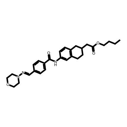 CCCCOC(=O)CC1CCc2cc(NC(=O)c3ccc(/C=N/N4CCOCC4)cc3)ccc2C1